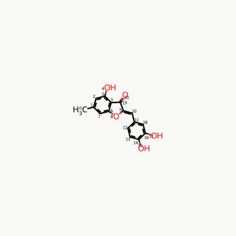 Cc1cc(O)c2c(c1)O/C(=C\c1ccc(O)c(O)c1)C2=O